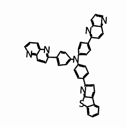 c1cnc2ccc(-c3ccc(N(c4ccc(-c5ccc6ncccc6n5)cc4)c4ccc(-c5ccc6c(n5)sc5ccccc56)cc4)cc3)nc2c1